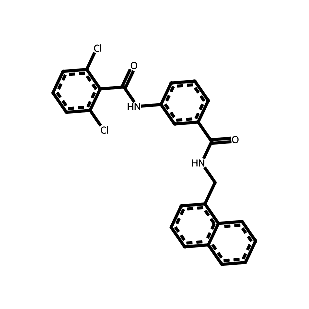 O=C(NCc1cccc2ccccc12)c1cccc(NC(=O)c2c(Cl)cccc2Cl)c1